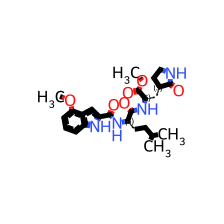 COC(=O)[C@H](C[C@@H]1CCNC1=O)NC(=O)[C@H](CCC(C)C)NC(=O)c1cc2c(OC)cccc2[nH]1